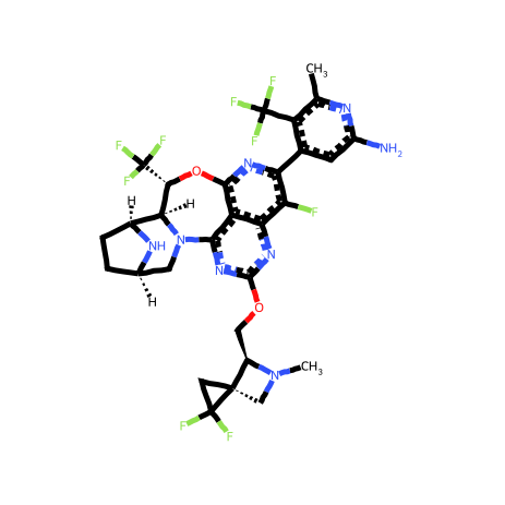 Cc1nc(N)cc(-c2nc3c4c(nc(OC[C@H]5N(C)C[C@]56CC6(F)F)nc4c2F)N2C[C@H]4CC[C@H](N4)[C@H]2[C@H](C(F)(F)F)O3)c1C(F)(F)F